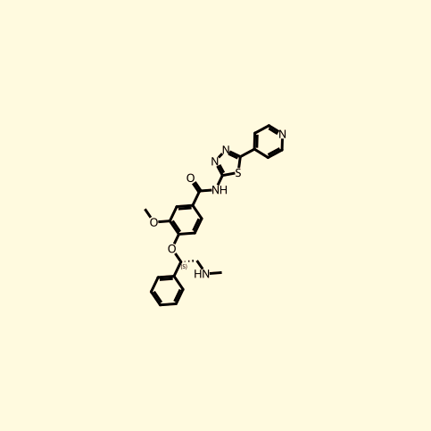 CNC[C@@H](Oc1ccc(C(=O)Nc2nnc(-c3ccncc3)s2)cc1OC)c1ccccc1